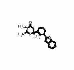 CN1C(=O)CC(C)(C2=CC(c3cc4ccccc4s3)CC=C2)N=C1N